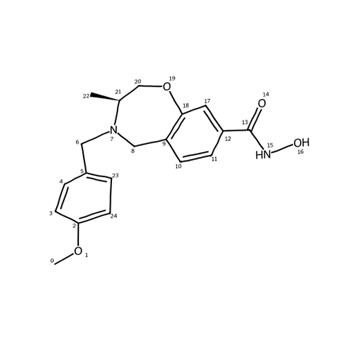 COc1ccc(CN2Cc3ccc(C(=O)NO)cc3OC[C@@H]2C)cc1